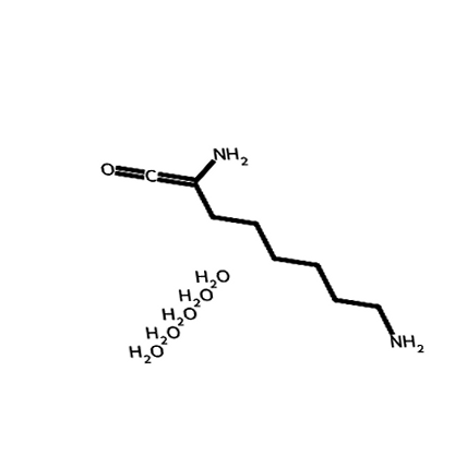 NCCCCCCC(N)=C=O.O.O.O.O.O